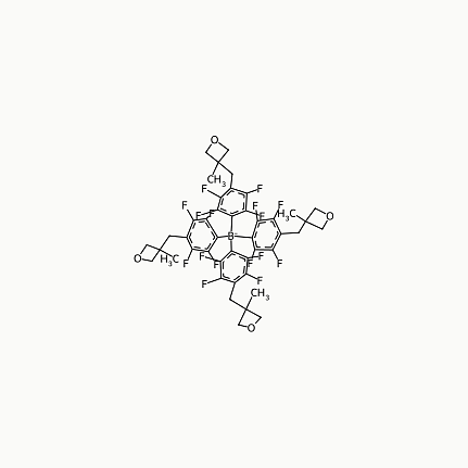 CC1(Cc2c(F)c(F)c([B-](c3c(F)c(F)c(CC4(C)COC4)c(F)c3F)(c3c(F)c(F)c(CC4(C)COC4)c(F)c3F)c3c(F)c(F)c(CC4(C)COC4)c(F)c3F)c(F)c2F)COC1